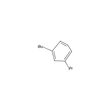 C[CH]C(C)c1cccc(C(C)C)c1